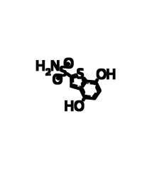 NS(=O)(=O)c1cc2c(O)ccc(O)c2s1